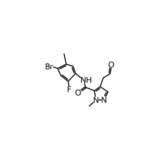 Cc1cc(NC(=O)c2c(CC=O)cnn2C)c(F)cc1Br